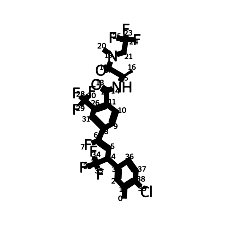 Cc1cc(C(/C=C(\F)c2ccc(C(=O)N[C@H](C)C(=O)N(C)CC(F)(F)F)c(C(F)(F)F)c2)C(F)(F)F)ccc1Cl